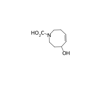 O=C(O)N1CC/C=C\C(O)CC1